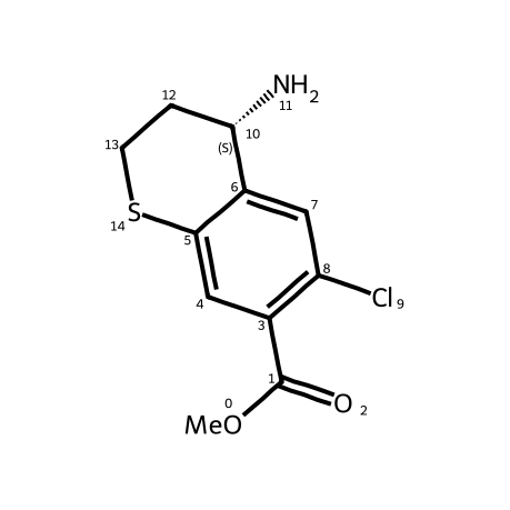 COC(=O)c1cc2c(cc1Cl)[C@@H](N)CCS2